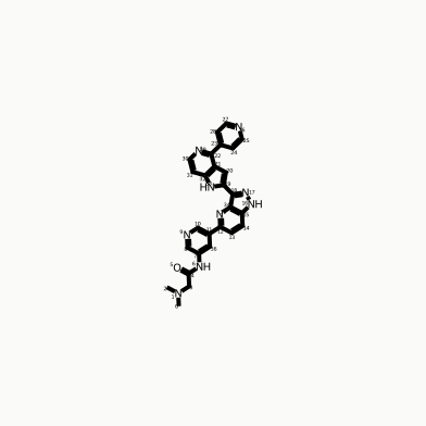 CN(C)CC(=O)Nc1cncc(-c2ccc3[nH]nc(-c4cc5c(-c6ccncc6)nccc5[nH]4)c3n2)c1